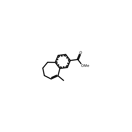 COC(=O)c1ccc2c(c1)C(C)=CCCC2